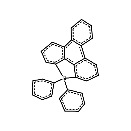 c1ccc([Si]2(c3ccccc3)c3cccc4c5ccccc5c5cccc2c5c34)cc1